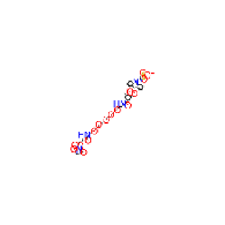 Cc1cc(C(=O)NCCOCCOCCOCCOCCOCCNC(=O)CCCC(=O)ON2C(=O)CCC2=O)cc(C)c1OC(=O)c1c2ccccc2[n+](CCCS(=O)(=O)[O-])c2ccccc12